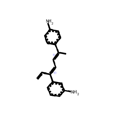 C=C/C(=C\C=C(/C)c1ccc(N)cc1)c1cccc(N)c1